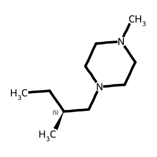 CC[C@H](C)CN1CCN(C)CC1